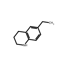 CCc1ccc2c(c1)[CH]CCN2